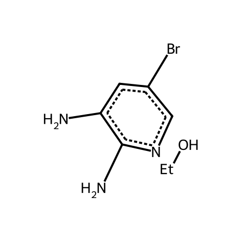 CCO.Nc1cc(Br)cnc1N